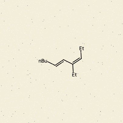 CCC=C(C=CCCCC)CC